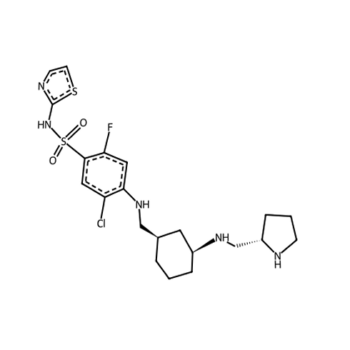 O=S(=O)(Nc1nccs1)c1cc(Cl)c(NC[C@@H]2CCC[C@H](NC[C@@H]3CCCN3)C2)cc1F